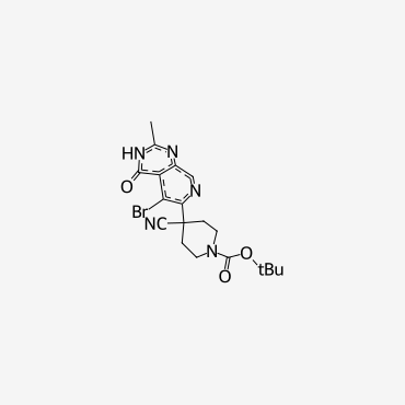 Cc1nc2cnc(C3(C#N)CCN(C(=O)OC(C)(C)C)CC3)c(Br)c2c(=O)[nH]1